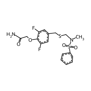 CN(CSCc1cc(F)c(OCC(N)=O)c(F)c1)S(=O)(=O)c1ccccc1